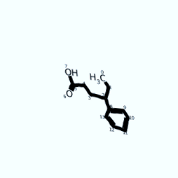 CCC(CCC(=O)O)c1ccccc1